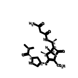 C[C@@H](NC(=O)CC(N)=O)[C@H]1C(=O)N2C(C(=O)O)=C(S[C@@H]3CN[C@H](C(=O)N(C)C)C3)[C@H](C)[C@H]12